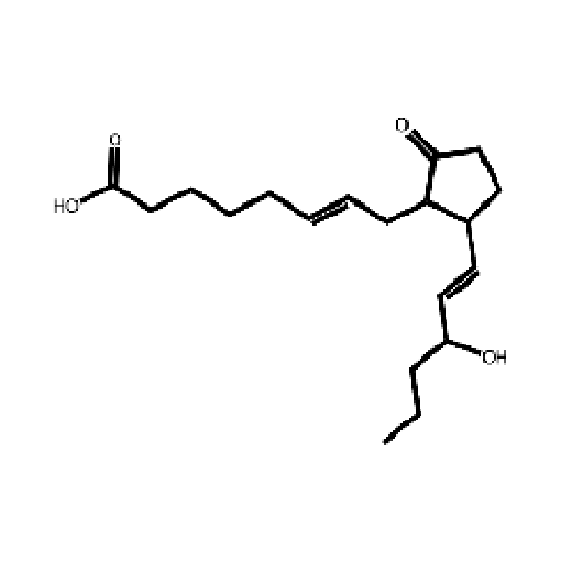 CCCC(O)C=CC1CCC(=O)C1CC=CCCCCC(=O)O